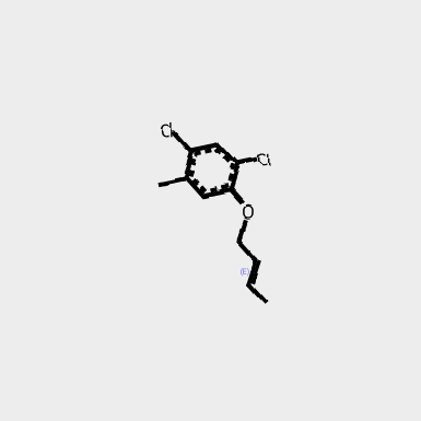 C/C=C/COc1cc(C)c(Cl)cc1Cl